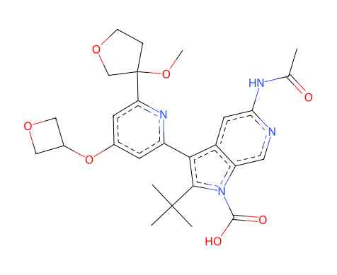 COC1(c2cc(OC3COC3)cc(-c3c(C(C)(C)C)n(C(=O)O)c4cnc(NC(C)=O)cc34)n2)CCOC1